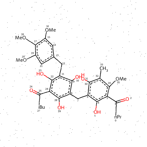 CCCC(=O)c1c(O)c(Cc2c(O)c(Cc3cc(OC)c(OC)c(OC)c3)c(O)c(C(=O)C(C)CC)c2O)c(O)c(C)c1OC